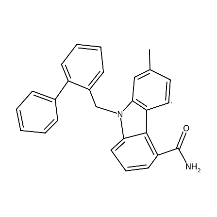 Cc1c[c]c2c3c(C(N)=O)cccc3n(Cc3ccccc3-c3ccccc3)c2c1